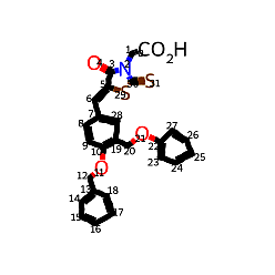 O=C(O)CN1C(=O)C(=Cc2ccc(OCc3ccccc3)c(COc3ccccc3)c2)SC1=S